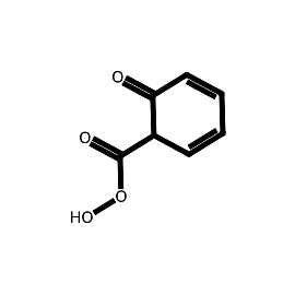 O=C1C=CC=CC1C(=O)OO